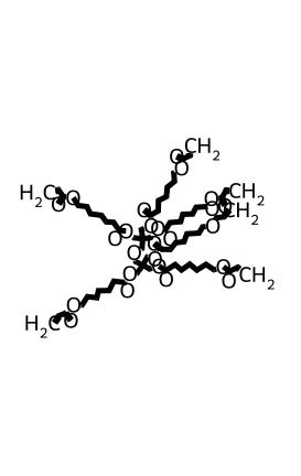 C=CC(=O)OCCCCCCC(=O)OCC(COCC(COC(=O)CCCCCCOC(=O)C=C)(COC(=O)CCCCCCOC(=O)C=C)COC(=O)CCCCCCOC(=O)C=C)(COC(=O)CCCCCCOC(=O)C=C)COC(=O)CCCCCCOC(=O)C=C